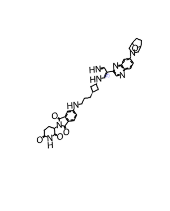 N=C/C(=C\N[C@H]1C[C@H](CCCNc2ccc3c(c2)C(=O)N(C2CCC(=O)NC2=O)C3=O)C1)c1cnc2ccc(N3CC4CCC(C3)O4)cc2n1